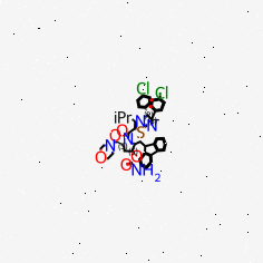 CC(C)C1=C(C(=O)N2C(CC3c4ccccc4-c4ccccc43)[C@@H](OC(N)=O)C[C@H]2C(=O)N2CCOCC2)SC2=N[C@@](C)(c3ccc(Cl)cc3)[C@@H](c3ccc(Cl)cc3)N21